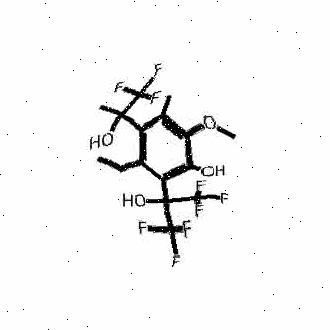 CCc1c(C(C)(O)C(F)(F)F)c(C)c(OC)c(O)c1C(O)(C(F)(F)F)C(F)(F)F